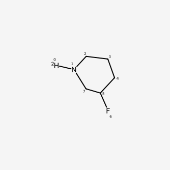 [2H]N1CCCC(F)C1